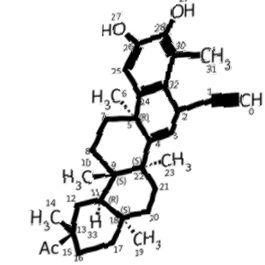 C#CC1C=C2[C@@](C)(CC[C@@]3(C)[C@@H]4C[C@](C)(C(C)=O)CC[C@]4(C)CC[C@]23C)c2cc(O)c(O)c(C)c21